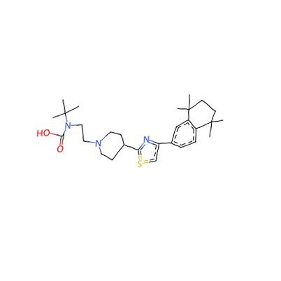 CC1(C)CCC(C)(C)c2cc(-c3csc(C4CCN(CCN(C(=O)O)C(C)(C)C)CC4)n3)ccc21